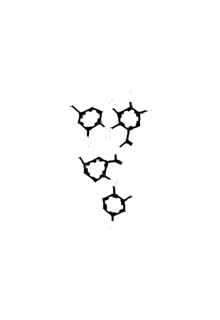 Cc1cc(I)ccc1Nc1ccc(Cl)cc1C(=O)OC(=O)c1cc(Br)c(F)c(F)c1Nc1ccc(I)cc1C